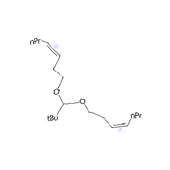 CCC/C=C\CCOC(OCC/C=C\CCC)C(C)(C)C